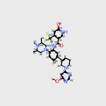 COc1cc(N2CCC=C(c3cc(NC(=O)c4c[nH]c(=O)cc4C(F)(F)F)c(N4CC(C)N(C)C(C)C4)cc3F)C2)ncn1